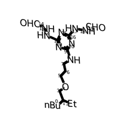 CCCCC(CC)COCCCNc1nc(NNC=O)nc(NNC=O)n1